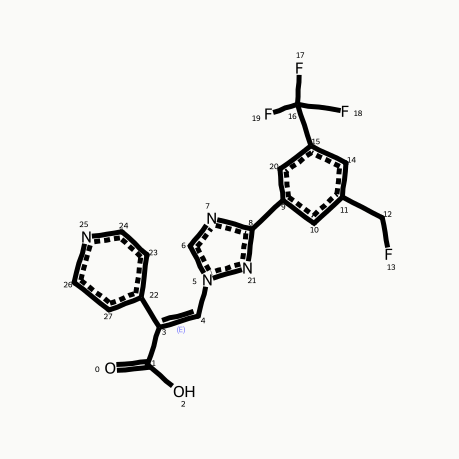 O=C(O)/C(=C/n1cnc(-c2cc(CF)cc(C(F)(F)F)c2)n1)c1ccncc1